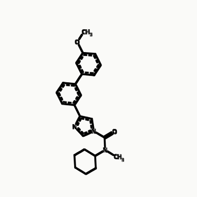 COc1cccc(-c2cccc(-c3cn(C(=O)N(C)C4CCCCC4)cn3)c2)c1